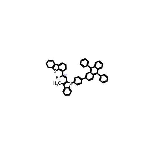 CC/C(=C\c1c(C)c2ccccc2n1-c1ccc(-c2ccc3c(-c4ccccc4)c4ccccc4c(-c4ccccc4)c3c2)cc1)c1cccc2c3c(sc12)CCC=C3